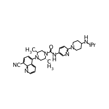 CC(C)NC1CCN(c2ccc(NC(=O)N3C[C@H](C)N(c4ccc(C#N)c5ncccc45)C[C@H]3C)cn2)CC1